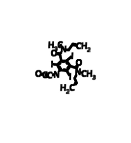 C=CCN(C)C(=O)c1c(I)c(N=C=C=O)c(I)c(C(=O)N(C)CC=C)c1I